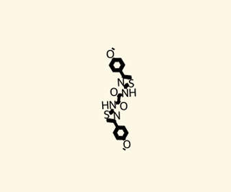 COc1ccc(-c2csc(NC(=O)C(=O)Nc3nc(-c4ccc(OC)cc4)cs3)n2)cc1